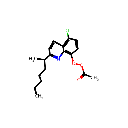 CCCCCC(C)c1ccc2c(Cl)ccc(OOC(C)=O)c2n1